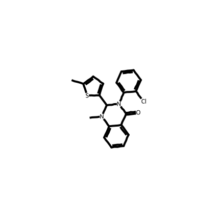 Cc1ccc(C2N(C)c3ccccc3C(=O)N2c2ccccc2Cl)s1